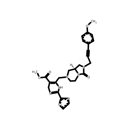 COC(=O)C1=C(CN2CCN3C(=O)N(CC#Cc4ccc(OC)cc4)C[C@@H]3C2)NC(c2nccs2)=NC1